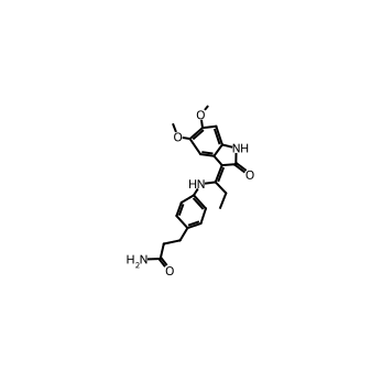 CCC(Nc1ccc(CCC(N)=O)cc1)=C1C(=O)Nc2cc(OC)c(OC)cc21